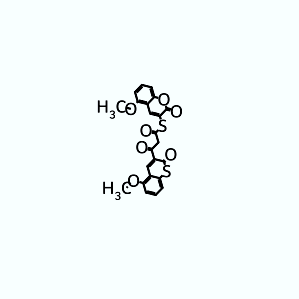 COc1cccc2oc(=O)c(SC(=O)CC(=O)c3cc4c(OC)cccc4sc3=O)cc12